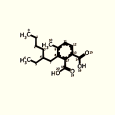 CCCCC(CC)Cc1c(C)ccc(C(=O)O)c1C(=O)O